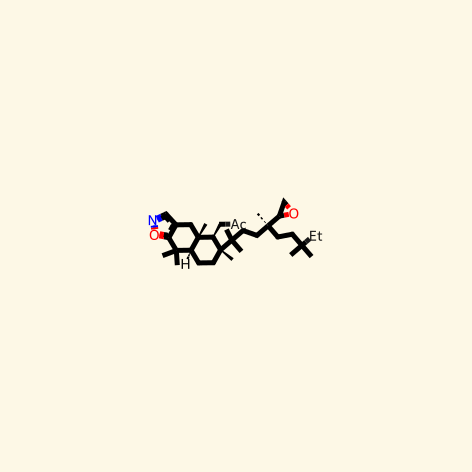 CCC(C)(C)CC[C@@](C)(CCC(C)(C)[C@]1(C)CC[C@H]2C(C)(C)c3oncc3C[C@]2(C)[C@H]1CC(C)=O)C1CO1